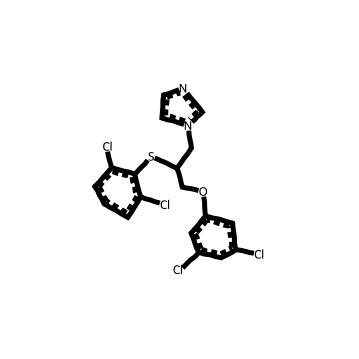 Clc1cc(Cl)cc(OCC(Cn2ccnc2)Sc2c(Cl)cccc2Cl)c1